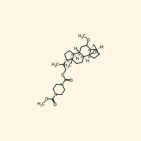 COC(=O)N1CCN(C(=O)OCC(C)[C@H]2CC[C@H]3[C@@H]4CC(OC)[C@@]56C[C@H]5CC[C@]6(C)[C@H]4CC[C@]23C)CC1